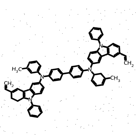 C=CC1=Cc2c(n(-c3ccccc3)c3ccc(N(c4ccc(-c5ccc(N(c6ccc7c(c6)c6cc(C=C)ccc6n7-c6ccccc6)C6C=CC=C(C)C6)cc5)cc4)c4cccc(C)c4)cc23)CC1